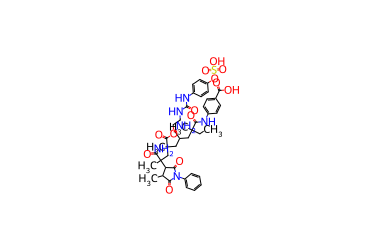 CCC(C)(CC(CN)CC(C)(CC(C)(C(N)=O)C1C(=O)N(c2ccccc2)C(=O)C1C)C(=O)OCCNC(=O)Nc1ccc(OS(=O)(=O)O)cc1)C(=O)Nc1ccc(C(=O)O)cc1